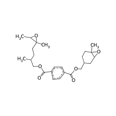 CC(CCC1(C)OC1C)COC(=O)c1ccc(C(=O)OCC2CCC3(C)OC3C2)cc1